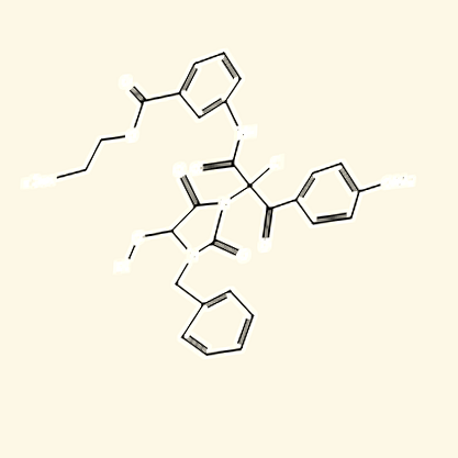 CCCCCCCCCCCCOC(=O)c1cccc(NC(=O)C(Cl)(C(=O)c2ccc(OC)cc2)N2C(=O)C(OCC)N(Cc3ccccc3)C2=O)c1